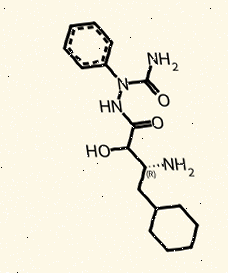 NC(=O)N(NC(=O)C(O)[C@H](N)CC1CCCCC1)c1ccccc1